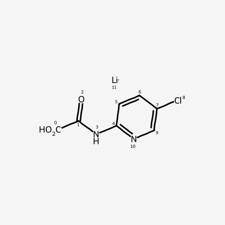 O=C(O)C(=O)Nc1ccc(Cl)cn1.[Li]